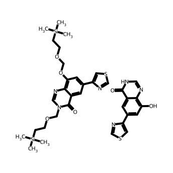 C[Si](C)(C)CCOCOc1cc(-c2cscn2)cc2c(=O)n(COCC[Si](C)(C)C)cnc12.O=c1[nH]cnc2c(O)cc(-c3cscn3)cc12